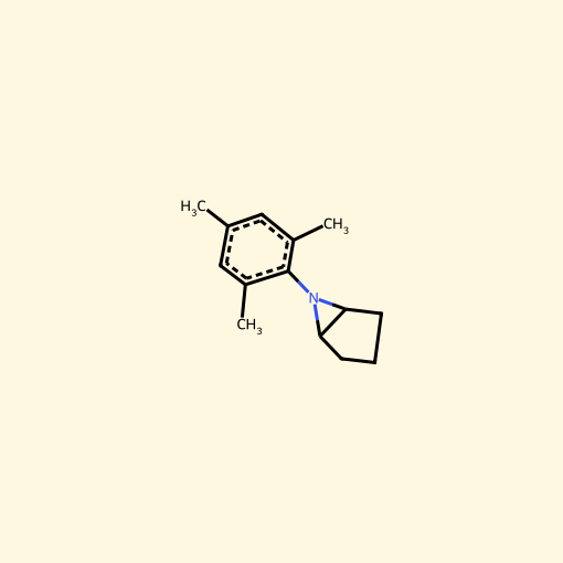 Cc1cc(C)c(N2C3CCCC32)c(C)c1